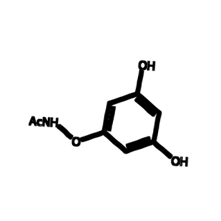 CC(=O)NOc1cc(O)cc(O)c1